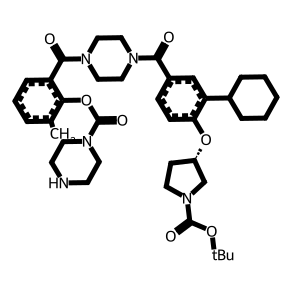 Cc1cccc(C(=O)N2CCN(C(=O)c3ccc(O[C@H]4CCN(C(=O)OC(C)(C)C)C4)c(C4CCCCC4)c3)CC2)c1OC(=O)N1CCNCC1